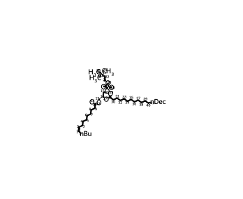 CCCC/C=C\CCCCCCCC(=O)OC[C@H](COP(=O)([O-])OCC[N+](C)(C)C)OC(=O)CCCCCCCCCCCCCCCCCCCCC